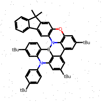 CC(C)(C)c1ccc(N2c3cc(C(C)(C)C)ccc3B3c4c(cc(C(C)(C)C)cc42)-c2cc(C(C)(C)C)cc4c2N3c2cc3c(cc2O4)C(C)(C)c2ccccc2-3)cc1